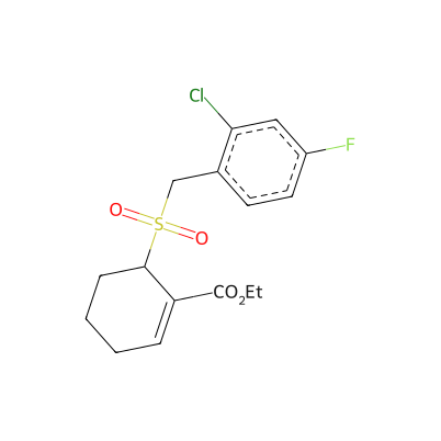 CCOC(=O)C1=CCCCC1S(=O)(=O)Cc1ccc(F)cc1Cl